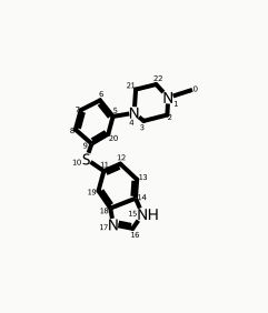 CN1CCN(c2cccc(Sc3ccc4[nH]cnc4c3)c2)CC1